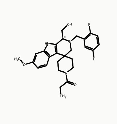 CCC(=O)N1CCC2(CC1)CN(Cc1cc(F)ccc1F)[C@H](CO)c1[nH]c3cc(OC)ccc3c12